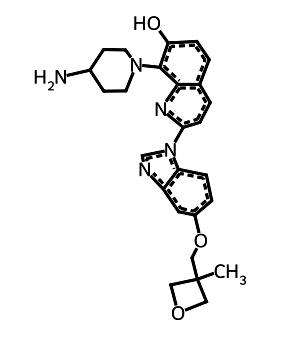 CC1(COc2ccc3c(c2)ncn3-c2ccc3ccc(O)c(N4CCC(N)CC4)c3n2)COC1